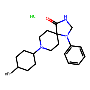 CCCC1CCC(N2CCC3(CC2)C(=O)NCN3c2ccccc2)CC1.Cl